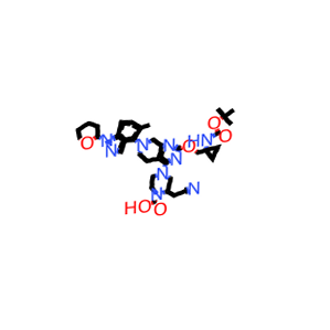 Cc1ccc2c(cnn2C2CCCCO2)c1N1CCc2c(nc(OCC3(NC(=O)OC(C)(C)C)CC3)nc2N2CCN(C(=O)O)C(CC#N)C2)C1